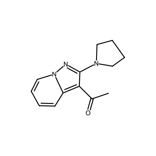 CC(=O)c1c(N2CCCC2)nn2ccccc12